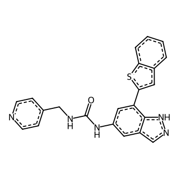 O=C(NCc1ccncc1)Nc1cc(-c2cc3ccccc3s2)c2[nH]ncc2c1